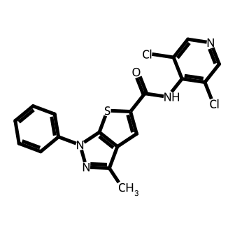 Cc1nn(-c2ccccc2)c2sc(C(=O)Nc3c(Cl)cncc3Cl)cc12